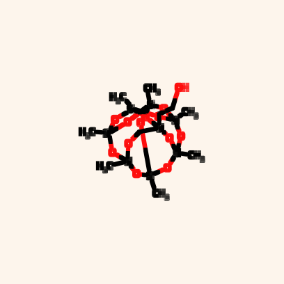 C[Si]12OC[Si]3(CCO)O[Si]4(C)O[Si](C)(O1)O[Si]1(C)O[Si](C)(O2)O[Si](C)(O3)O[Si](C)(O4)O1